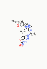 C=C(NCc1ccc2c(c1)N/C(=N/O)CO2)c1cc(C(=C)NCC2(C)CCC(C)(C(=O)OC)CC2)n2nccc2n1